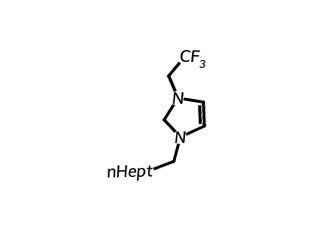 CCCCCCCCN1C=CN(CC(F)(F)F)C1